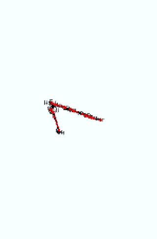 [N-]=[N+]=NCCOCCOCCOCCOCCOCCOCCOCCOCCOCCOCCOCCNC(=O)[C@H](CCC(=O)O)NC(=O)CC[C@H](NC(=O)CCCCCCCCCCCCCCCS(=O)(=O)O)C(=O)O